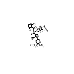 CC1(C(=O)O)CCC(n2ncc(C(=O)N(CC(=O)c3c(Cl)cccc3Cl)C3C[C@@H]4[C@H](C3)C4(C)C)c2C2CC2)CC1